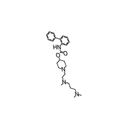 CN(C)CCCN(C)CCN1CCC(OC(=O)Nc2ccccc2-c2ccccc2)CC1